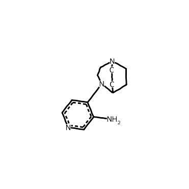 Nc1cnccc1N1CCN2CCC1CC2